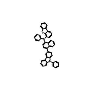 c1ccc(N(c2ccc(-c3ccc4c(c3)c3ccccc3n4-c3ccccc3)c3ccccc23)c2cccc3c2sc2ccccc23)cc1